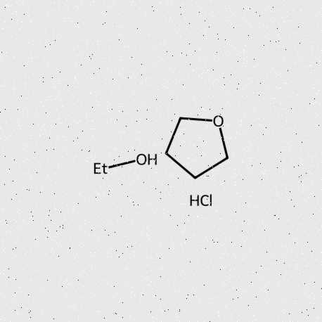 C1CCOC1.CCO.Cl